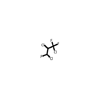 FC(Cl)C(Cl)C(F)(F)Cl